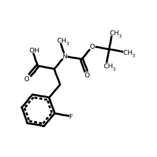 CN(C(=O)OC(C)(C)C)C(Cc1ccccc1F)C(=O)O